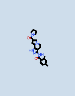 Cc1ccc(C(=O)Nc2n[nH]c3c2CCn2cc(C(=O)N4CCCC4)cc2-3)c(C)c1